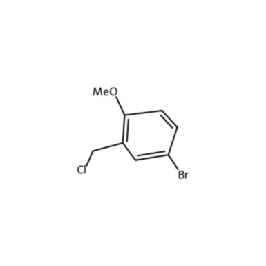 COc1ccc(Br)cc1CCl